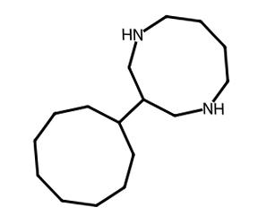 C1CCCCC(C2CNCCCCNC2)CCC1